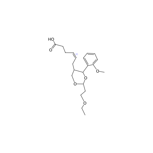 CCOCCC1OCC(C/C=C\CCC(=O)O)C(c2ccccc2OC)O1